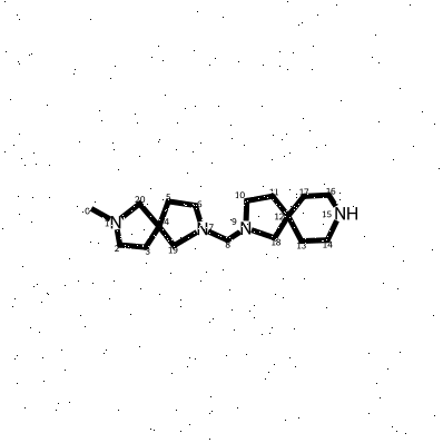 CN1CCC2(CCN(CN3CCC4(CCNCC4)C3)C2)C1